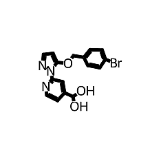 OC(O)c1ccnc(-n2nccc2OCc2ccc(Br)cc2)c1